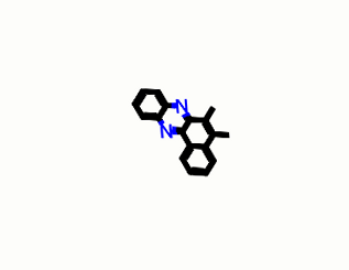 Cc1c(C)c2nc3ccccc3nc2c2ccccc12